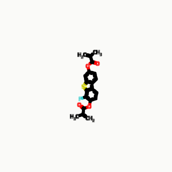 C=C(C)C(=O)Oc1ccc2c(c1)sc1c(F)c(OC(=O)C(=C)C)ccc12